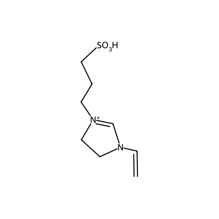 C=CN1C=[N+](CCCS(=O)(=O)O)CC1